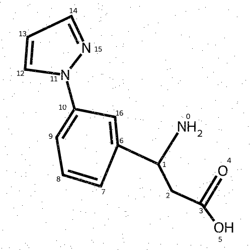 NC(CC(=O)O)c1cccc(-n2cccn2)c1